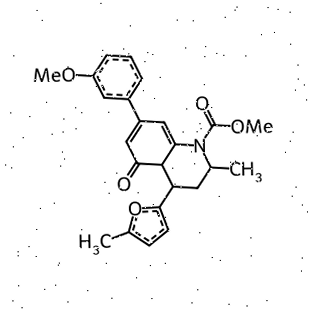 COC(=O)N1C2=CC(c3cccc(OC)c3)=CC(=O)C2C(c2ccc(C)o2)CC1C